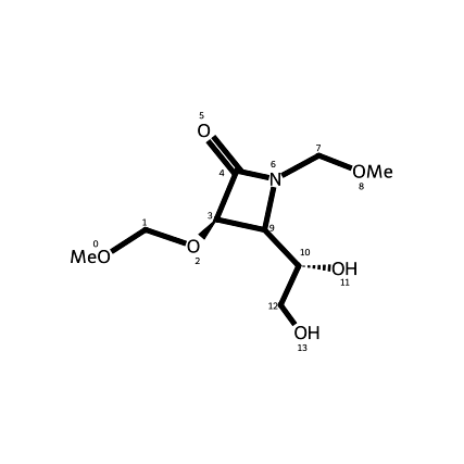 COCO[C@H]1C(=O)N(COC)C1[C@H](O)CO